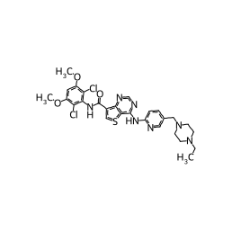 CCN1CCN(Cc2ccc(Nc3ncnc4c(C(=O)Nc5c(Cl)c(OC)cc(OC)c5Cl)csc34)nc2)CC1